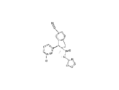 C[C@@]1(C(=O)Nc2nccs2)Cc2ccc(C#N)cc2[C@@H]1c1cccc(Cl)c1